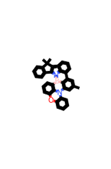 Cc1cc2c3c(c1)N1c4ccccc4Oc4cccc(c41)B3n1c3c(c4cccc-2c41)C(C)(C)c1ccccc1-3